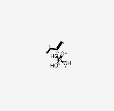 C=CCC.O=P(O)(O)O